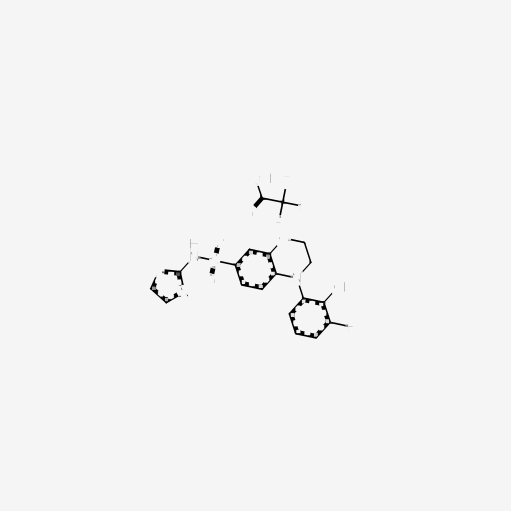 Cc1c(F)cccc1N1CCOc2cc(S(=O)(=O)Nc3nccs3)ccc21.O=C(O)C(F)(F)F